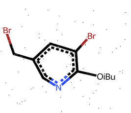 CC(C)COc1ncc(CBr)cc1Br